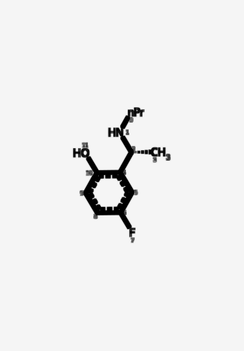 CCCN[C@H](C)c1cc(F)ccc1O